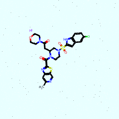 Cc1cc2nc(C(=O)N3CCN(S(=O)(=O)c4cc5cc(Cl)ccc5[nH]4)CC3CC(=O)N3CCOCC3)sc2cn1.I